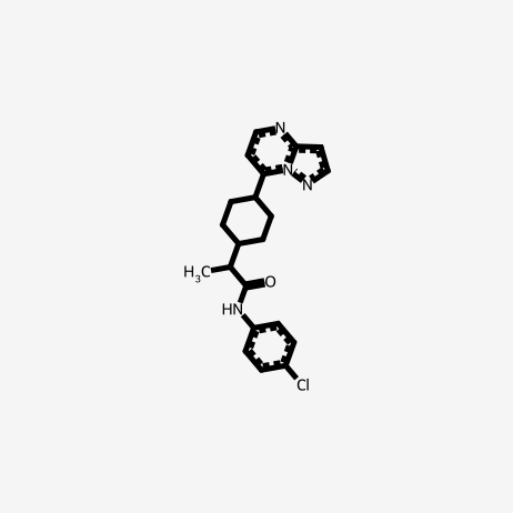 CC(C(=O)Nc1ccc(Cl)cc1)C1CCC(c2ccnc3ccnn23)CC1